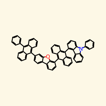 c1ccc(-c2c3ccccc3c(-c3ccc4c(c3)oc3c(-c5c6ccccc6c(-c6cccc7c6c6ccccc6n7-c6ccccc6)c6ccccc56)cccc34)c3ccccc23)cc1